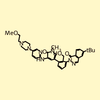 COCCN1CCN(c2ccc(Nc3cc(-c4cccc(-n5ncc6cc(C(C)(C)C)ccc6c5=O)c4CO)cn(C)c3=O)nc2)CC1